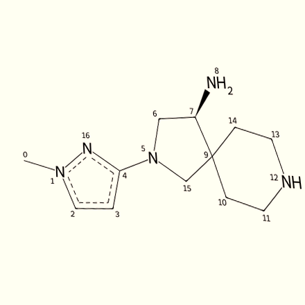 Cn1ccc(N2C[C@@H](N)C3(CCNCC3)C2)n1